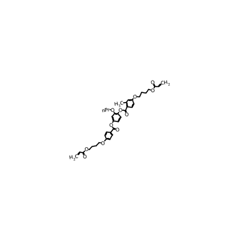 C=CC(=O)OCCCCOc1ccc(C(=O)Oc2ccc(OC(=O)c3ccc(OCCCCOC(=O)C=C)cc3C)c(OCCC)c2)cc1